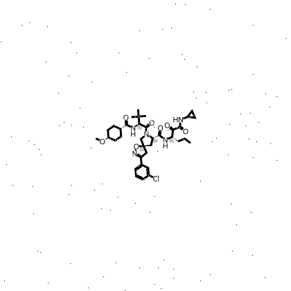 CCC[C@H](NC(=O)[C@@H]1C[C@]2(CC(c3cccc(Cl)c3)=NO2)CN1C(=O)[C@@H](NC(=O)[C@H]1CC[C@@H](OC)CC1)C(C)(C)C)C(=O)C(=O)NC1CC1